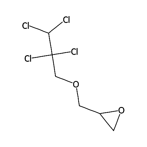 ClC(Cl)C(Cl)(Cl)COCC1CO1